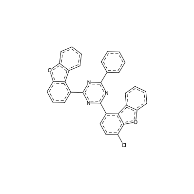 Clc1ccc(-c2nc(-c3ccccc3)nc(-c3cccc4oc5ccccc5c34)n2)c2c1oc1ccccc12